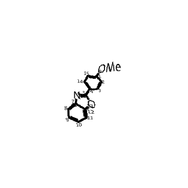 [CH2]Oc1ccc(-c2nc3ccccc3o2)cc1